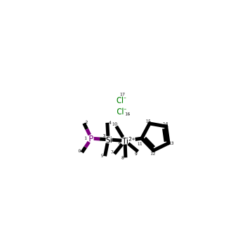 CP(C)[Si](C)(C)[Ti+2]([CH3])([CH3])([CH3])([CH3])[C]1=CC=CC1.[Cl-].[Cl-]